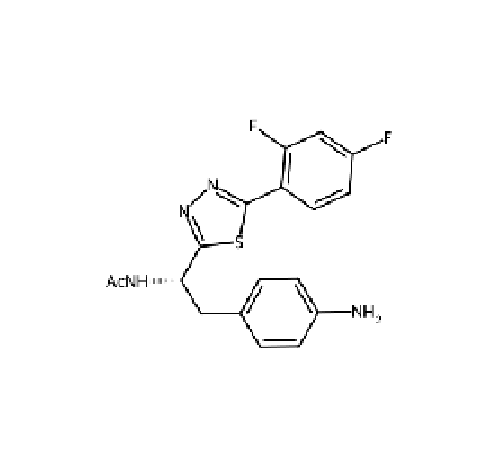 CC(=O)N[C@@H](Cc1ccc(N)cc1)c1nnc(-c2ccc(F)cc2F)s1